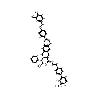 CCC(c1ccccc1)N1Cc2cc3c(cc2CC1C(=O)NCCc1ccc(-c2ccnc(C)c2C)cc1)CCC(c1ccc(OCc2ccc(Cl)c(Cl)c2)cc1)O3